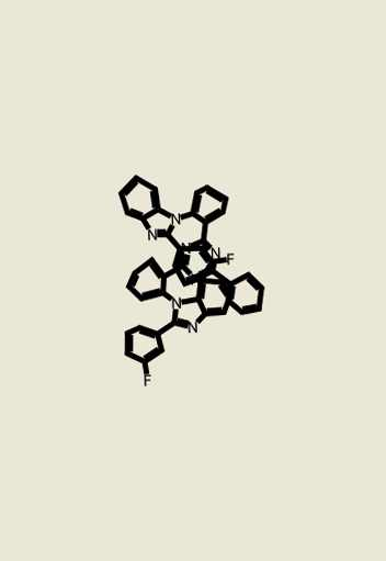 Fc1cccc(-c2nc3ccccc3n2-c2ccccc2-c2nc(-c3ccccc3)nc(-c3ccccc3-n3c(-c4cccc(F)c4)nc4ccccc43)n2)c1